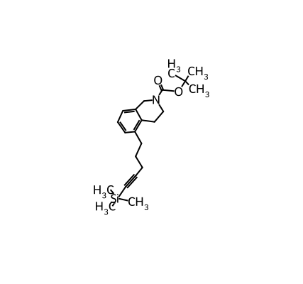 CC(C)(C)OC(=O)N1CCc2c(CCCC#C[Si](C)(C)C)cccc2C1